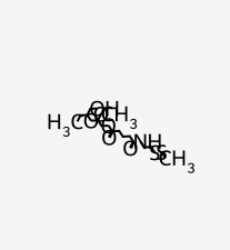 CCC(CO)OC(COC(=O)CCCC(=O)NCCSSC)OC